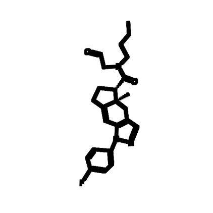 CCCCN(CC=O)C(=O)[C@H]1CCC2=Cc3c(cnn3-c3ccc(F)cc3)C[C@@]21C